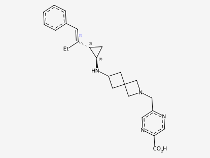 CC/C(=C\c1ccccc1)[C@@H]1C[C@H]1NC1CC2(C1)CN(Cc1cnc(C(=O)O)cn1)C2